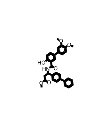 COC(=O)CC(NC(=O)c1cc(-c2ccc(OC)c(OC)c2)ccc1O)c1ccc(-c2ccccc2)cc1